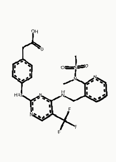 CN(c1ncccc1CNc1nc([AsH]c2ccc(CC(=O)O)cc2)ncc1C(F)(F)F)S(C)(=O)=O